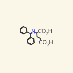 O=C(O)CCC(N=C(c1ccccc1)c1ccccc1)C(=O)O